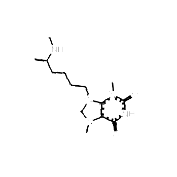 CNC(C)CCCCN1CN(C)c2c1n(C)c(=O)[nH]c2=O